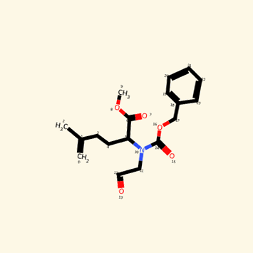 C=C(C)CCC(C(=O)OC)N(CC=O)C(=O)OCc1ccccc1